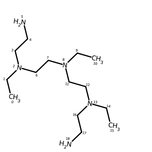 CCN(CCN)CCN(CC)CCN(CC)CCN